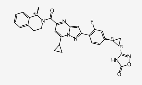 C[C@@H]1c2ccccc2CCN1C(=O)c1cc(C2CC2)n2nc(-c3ccc([C@H]4C[C@@H]4c4noc(=O)[nH]4)cc3F)cc2n1